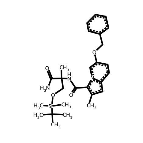 Cc1cc2ccc(OCc3ccccc3)cn2c1C(=O)NC(C)(CO[Si](C)(C)C(C)(C)C)C(N)=O